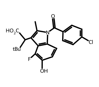 Cc1c(C(C(=O)O)C(C)(C)C)c2c(F)c(O)ccc2n1C(=O)c1ccc(Cl)cc1